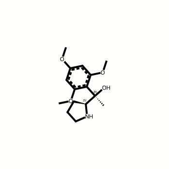 COc1cc(OC)c([C@@](C)(O)[C@@H]2CCCN2)c(OC)c1